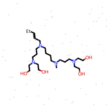 CCC=CCN(CCCCN(C)CCCN(CCO)CCO)CCCN(CCO)CCO